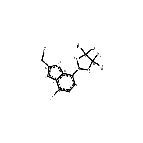 CCC1(CC)OB(c2ccc(F)c3cc(CO)sc23)OC1(CC)CC